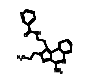 CCCn1nc2c(N)nc3ccccc3c2c1CCNC(=O)c1cccnc1